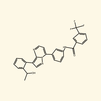 CC(O)c1ccccc1-c1cnn2c(-c3cccc(NC(=O)c4cccc(C(F)(F)F)c4)c3)ccnc12